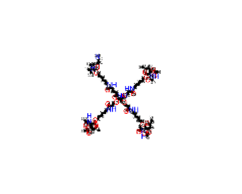 CC[C@H]1OC(OCCCCCCNC(=O)CCOCC(COCCC(=O)NCCCCCCOC2O[C@H](CC)[C@H](C)[C@H](OC(C)=O)[C@H]2NC(C)=O)(COCCC(=O)NCCCCCCOC2O[C@H](CC)[C@H](C)[C@H](OC(C)=O)[C@H]2NC(C)=O)NC(=O)CCCC(=O)NCCCCCCOP(OCCC#N)N(C(C)C)C(C)C)[C@H](NC(C)=O)[C@@H](OC(C)=O)[C@H]1C